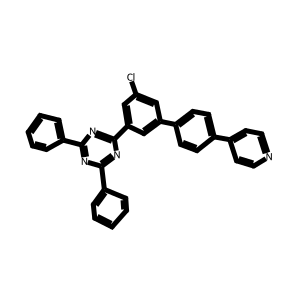 Clc1cc(-c2ccc(-c3ccncc3)cc2)cc(-c2nc(-c3ccccc3)nc(-c3ccccc3)n2)c1